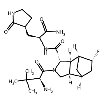 CC(C)(C)[C@H](N)C(=O)N1C[C@@H]2[C@H]3C[C@@H]([C@@H]2[C@H]1C(=O)N[C@@H](C[C@@H]1CCNC1=O)C(N)=O)[C@H](F)C3